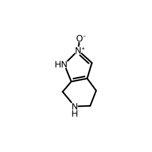 [O-][n+]1cc2c([nH]1)CNCC2